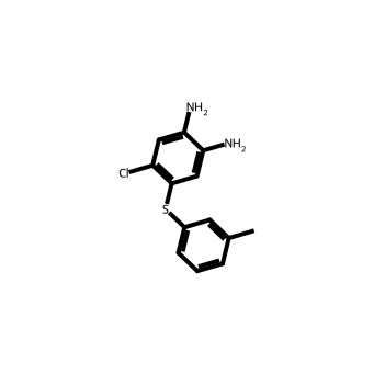 Cc1cccc(Sc2cc(N)c(N)cc2Cl)c1